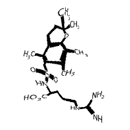 Cc1c(C)c(S(=O)(=O)NC(CCCNC(=N)N)C(=O)O)c(C)c2c1OC(C)(C)CC2